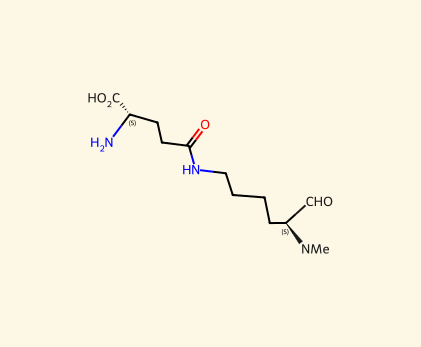 CN[C@H](C=O)CCCCNC(=O)CC[C@H](N)C(=O)O